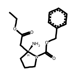 CCOC(=O)C[C@@]1(N)CCCN1C(=O)OCc1ccccc1